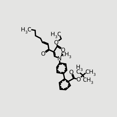 CCCCC=CC(=O)C(=CN(C)c1ccc(-c2ccccc2C(=O)OC(C)(C)C)cc1)C(=O)OCC